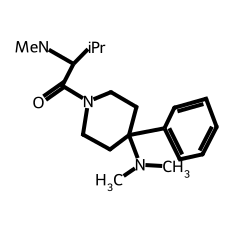 CNC(C(=O)N1CCC(c2ccccc2)(N(C)C)CC1)C(C)C